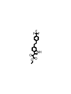 CCOC(=O)C(=O)c1c[nH]c2cc(CCc3ccc(C(F)(F)F)cc3)ccc12